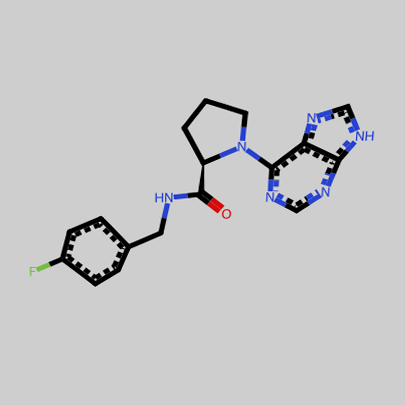 O=C(NCc1ccc(F)cc1)[C@H]1CCCN1c1ncnc2[nH]cnc12